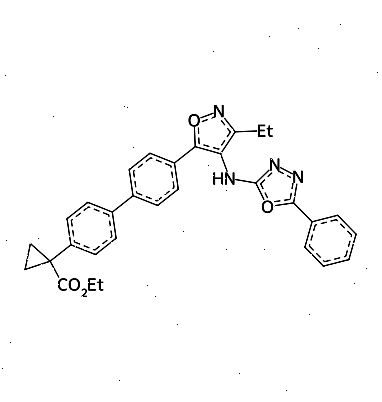 CCOC(=O)C1(c2ccc(-c3ccc(-c4onc(CC)c4Nc4nnc(-c5ccccc5)o4)cc3)cc2)CC1